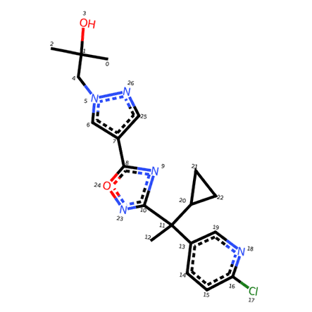 CC(C)(O)Cn1cc(-c2nc(C(C)(c3ccc(Cl)nc3)C3CC3)no2)cn1